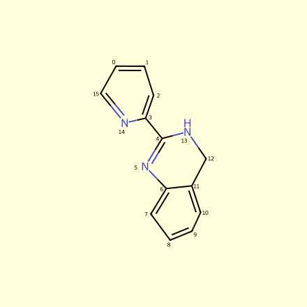 c1ccc(C2=Nc3ccccc3CN2)nc1